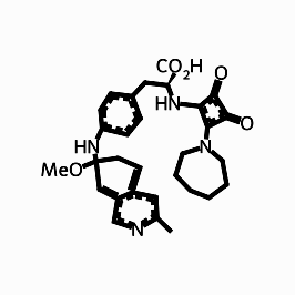 COC1(Nc2ccc(C[C@H](Nc3c(N4CCCCCC4)c(=O)c3=O)C(=O)O)cc2)C=c2cnc(C)cc2=CC1